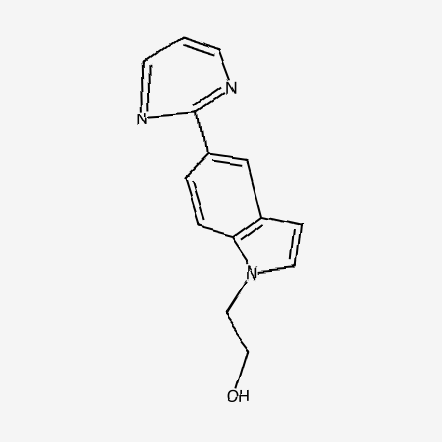 OCCn1ccc2cc(-c3ncccn3)ccc21